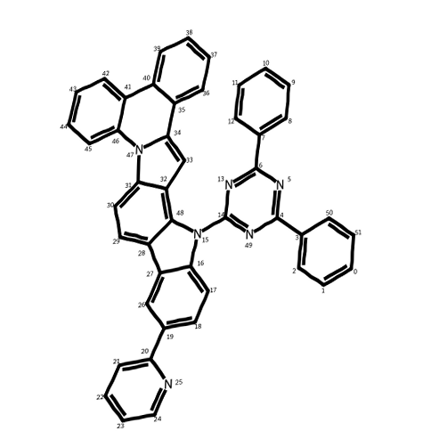 c1ccc(-c2nc(-c3ccccc3)nc(-n3c4ccc(-c5ccccn5)cc4c4ccc5c(cc6c7ccccc7c7ccccc7n65)c43)n2)cc1